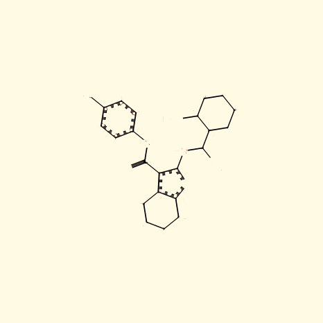 O=C(Nc1ccc(Cl)cc1)c1c(NC(O)C2CCCCC2C(=O)O)sc2c1CCCC2